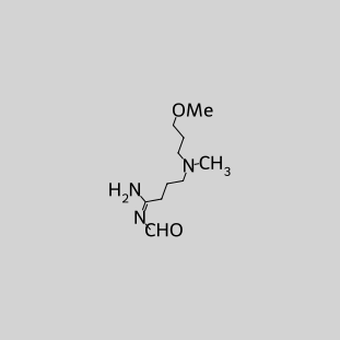 COCCCN(C)CCC/C(N)=N\C=O